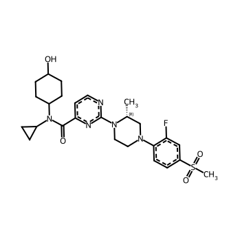 C[C@@H]1CN(c2ccc(S(C)(=O)=O)cc2F)CCN1c1nccc(C(=O)N(C2CCC(O)CC2)C2CC2)n1